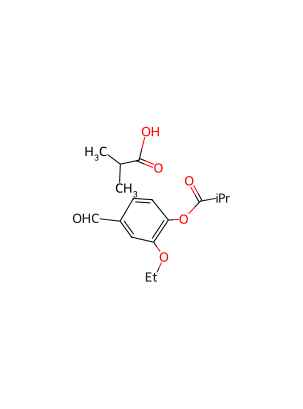 CC(C)C(=O)O.CCOc1cc(C=O)ccc1OC(=O)C(C)C